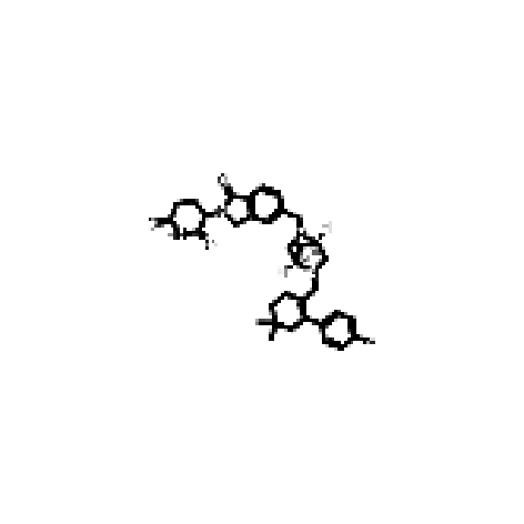 CC1(C)CCC(CN2C[C@@H]3C[C@H]2CN3Cc2ccc3c(c2)CN(C2CCC(=O)NC2=O)C3=O)=C(c2ccc(F)cc2)C1